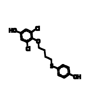 Oc1ccc(SCCCCOc2c(Cl)cc(O)cc2Cl)cc1